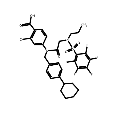 CCCN(CC(=O)N(Cc1ccc(C2CCCCC2)cc1)c1ccc(C(=O)O)c(Cl)c1)S(=O)(=O)c1c(F)c(F)c(F)c(F)c1F